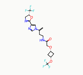 C=C(CCNC(=O)CO[C@H]1C[C@@H](OC(F)(F)F)C1)n1cnc(C2=NC[C@H](C(F)(F)F)O2)c1